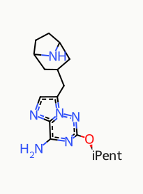 CCC[C@H](C)Oc1nc(N)c2ncc(CC3CC4CCC(C3)N4)n2n1